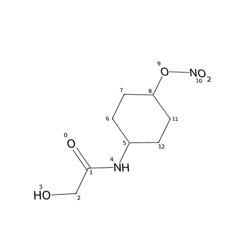 O=C(CO)NC1CCC(O[N+](=O)[O-])CC1